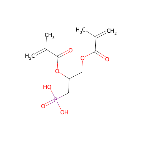 C=C(C)C(=O)OCC(CP(=O)(O)O)OC(=O)C(=C)C